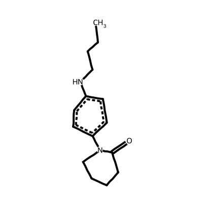 CCCCNc1ccc(N2CCCCC2=O)cc1